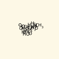 C[C@@H](NS(=O)(=O)c1ccccc1)[C@H]1C(=O)N2C(C(=O)O)=C(S[C@@H]3CN[C@H](C(=O)N(C)C)C3)[C@H](C)[C@H]12